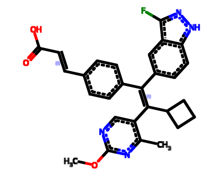 COc1ncc(/C(=C(\c2ccc(/C=C/C(=O)O)cc2)c2ccc3[nH]nc(F)c3c2)C2CCC2)c(C)n1